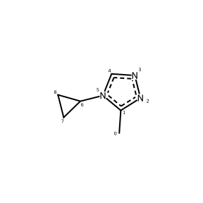 Cc1nncn1C1CC1